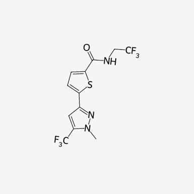 Cn1nc(-c2ccc(C(=O)NCC(F)(F)F)s2)cc1C(F)(F)F